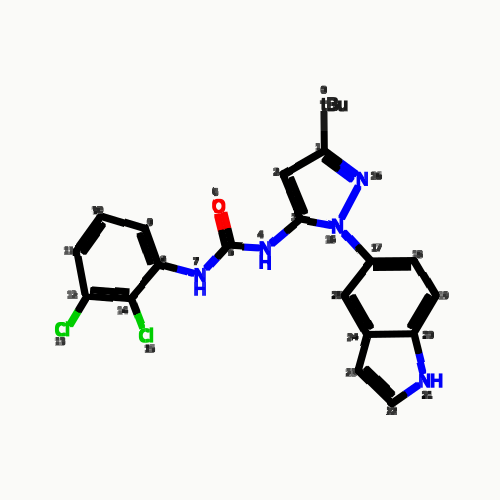 CC(C)(C)c1cc(NC(=O)Nc2cccc(Cl)c2Cl)n(-c2ccc3[nH]ccc3c2)n1